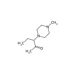 [CH2]CC(C(C)=O)N1CCN(C)CC1